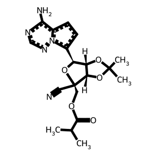 CC(C)C(=O)OC[C@@]1(C#N)O[C@@H](c2ccc3c(N)ncnn23)[C@@H]2OC(C)(C)O[C@@H]21